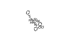 CN1C(=O)C(NC(=S)NCCSCc2ccccc2)N=C(c2ccccc2Cl)c2cc(Cl)ccc21